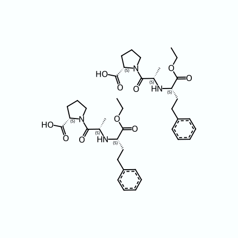 CCOC(=O)[C@H](CCc1ccccc1)N[C@@H](C)C(=O)N1CCC[C@H]1C(=O)O.CCOC(=O)[C@H](CCc1ccccc1)N[C@@H](C)C(=O)N1CCC[C@H]1C(=O)O